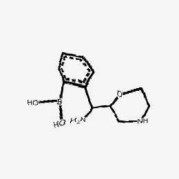 NC(c1ccccc1B(O)O)C1CNCCO1